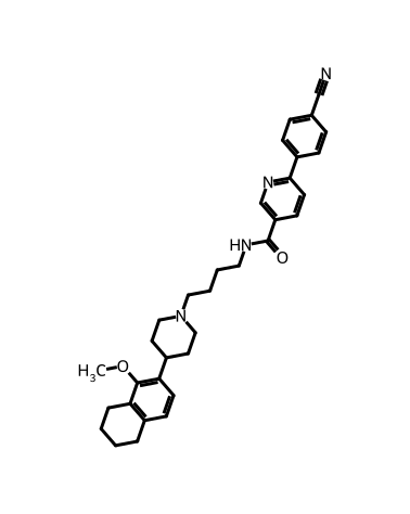 COc1c(C2CCN(CCCCNC(=O)c3ccc(-c4ccc(C#N)cc4)nc3)CC2)ccc2c1CCCC2